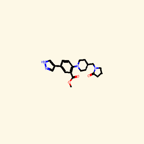 COC(=O)c1cc(-c2cn[nH]c2)ccc1N1CCC(CN2CCCC2=O)CC1